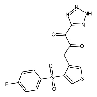 O=C(Cc1cscc1S(=O)(=O)c1ccc(F)cc1)C(=O)c1nn[nH]n1